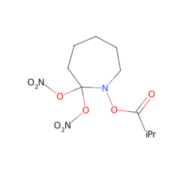 CC(C)C(=O)ON1CCCCCC1(O[N+](=O)[O-])O[N+](=O)[O-]